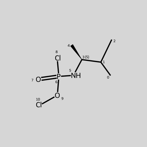 CC(C)[C@H](C)NP(=O)(Cl)OCl